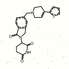 O=C1CCC(N2Cc3cc(CN4CC=C(c5cccs5)CC4)ccc3C2=O)C(=O)N1